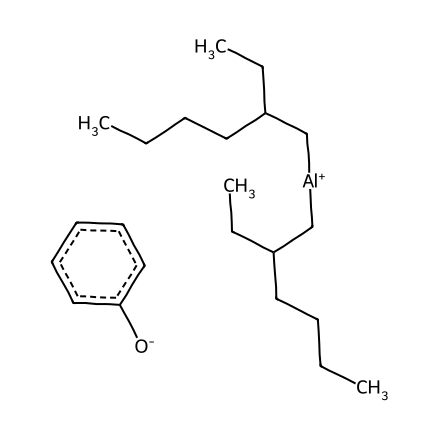 CCCCC(CC)[CH2][Al+][CH2]C(CC)CCCC.[O-]c1ccccc1